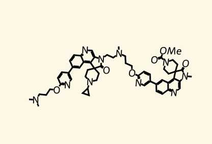 COC(=O)N1CCC2(CC1)C(=O)N(C)c1cnc3ccc(-c4ccc(OCCCN(C)CCN5C(=O)C6(CCN(C7CC7)CC6)c6c5cnc5ccc(-c7ccc(OCCCN(C)C)nc7)cc65)nc4)cc3c12